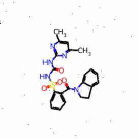 Cc1cc(C)nc(NC(=O)NS(=O)(=O)c2ccccc2C(=O)N2CCc3ccccc32)n1